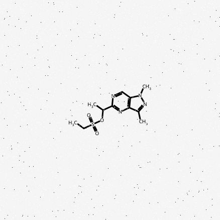 CCS(=O)(=O)OC(C)c1ncc2c(n1)c(C)nn2C